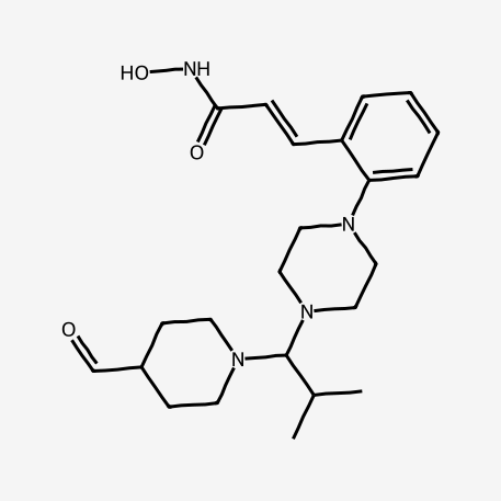 CC(C)C(N1CCC(C=O)CC1)N1CCN(c2ccccc2C=CC(=O)NO)CC1